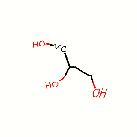 OCC(O)[14CH2]O